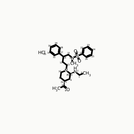 CCN[C@H]1C[C@@H](C(C)=O)CCN1CCC(CN(C)S(=O)(=O)c1ccccc1)c1ccccc1.Cl